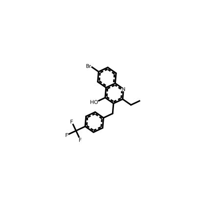 CCc1nc2ccc(Br)cc2c(O)c1Cc1ccc(C(F)(F)F)cc1